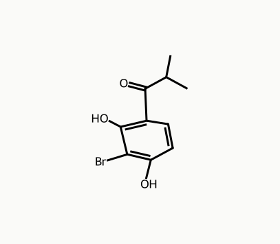 CC(C)C(=O)c1ccc(O)c(Br)c1O